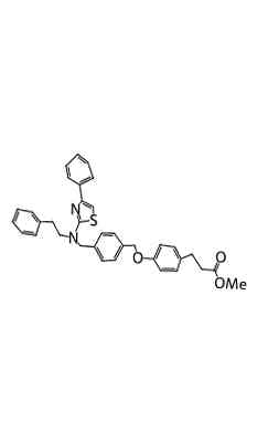 COC(=O)CCc1ccc(OCc2ccc(CN(CCc3ccccc3)c3nc(-c4ccccc4)cs3)cc2)cc1